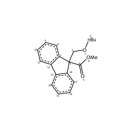 CCCCOCC1(C(=O)OC)c2ccccc2-c2ccccc21